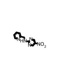 O=[N+]([O-])c1cnc(NCc2ccccn2)nc1